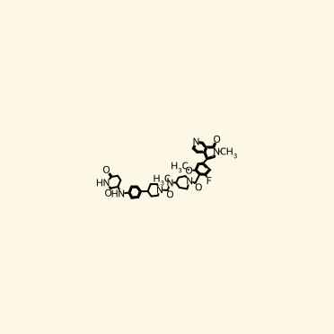 COc1cc(-c2cn(C)c(=O)c3cnccc23)cc(F)c1C(=O)N1CCC(N(C)C(=O)N2CCC(c3ccc(NC4CCC(=O)NC4=O)cc3)CC2)CC1